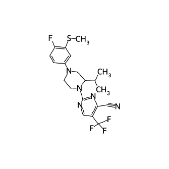 CSc1cc(N2CCN(c3ncc(C(F)(F)F)c(C#N)n3)C(C(C)C)C2)ccc1F